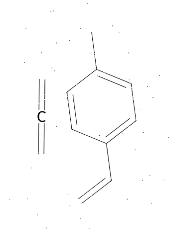 C=C=C.C=Cc1ccc(C)cc1